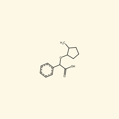 CC1CCCC1OC(C(=O)O)c1ccccc1